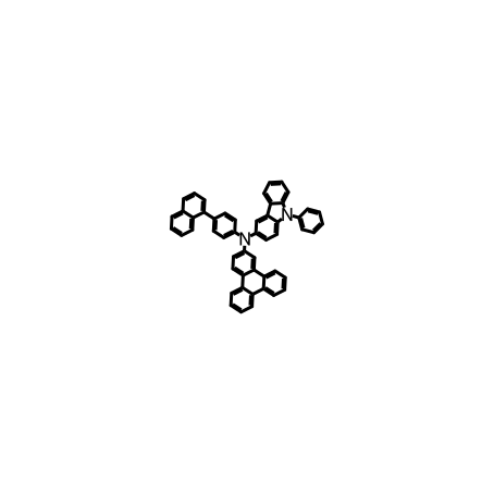 c1ccc(-n2c3ccccc3c3cc(N(c4ccc(-c5cccc6ccccc56)cc4)c4ccc5c6ccccc6c6ccccc6c5c4)ccc32)cc1